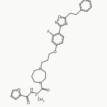 C[C@H](NC(=O)c1ccco1)C(=O)N1CCCN(CCCOc2ccc(-c3noc(CCc4ccccc4)n3)c(F)c2)CC1